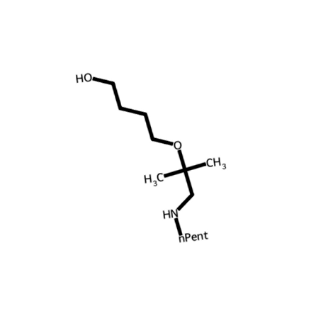 CCCCCNCC(C)(C)OCCCCO